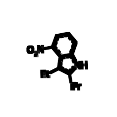 [CH2]Cc1c(C(C)C)[nH]c2cccc([N+](=O)[O-])c12